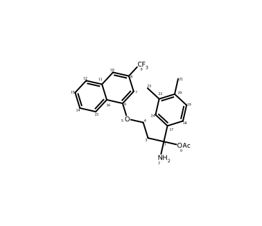 CC(=O)OC(N)(CCOc1cc(C(F)(F)F)cc2ccccc12)c1ccc(C)c(C)c1